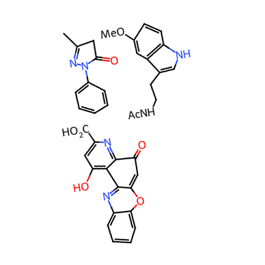 CC1=NN(c2ccccc2)C(=O)C1.COc1ccc2[nH]cc(CCNC(C)=O)c2c1.O=C(O)c1cc(O)c2c3nc4ccccc4oc-3cc(=O)c2n1